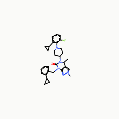 CC1c2cn(C)nc2N(Cc2ccccc2C2CC2)C(=O)N1C1CCN(c2c(F)cccc2C2CC2)CC1